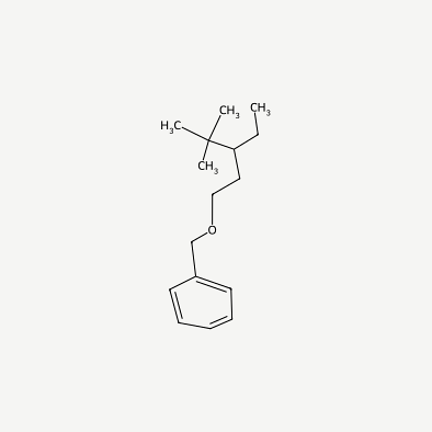 CCC(CCOCc1ccccc1)C(C)(C)C